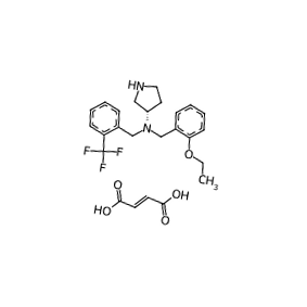 CCOc1ccccc1CN(Cc1ccccc1C(F)(F)F)[C@H]1CCNC1.O=C(O)C=CC(=O)O